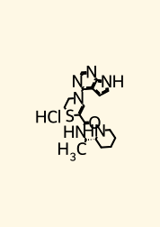 CC(NC(=O)C1=CN(c2ncnc3[nH]ccc23)CCS1)[C@H]1CCCCN1.Cl